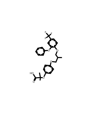 CC(COc1ccc(OC(C)(C)C(=O)O)cc1)COc1ccc(C(F)(F)F)cc1Oc1ccccc1